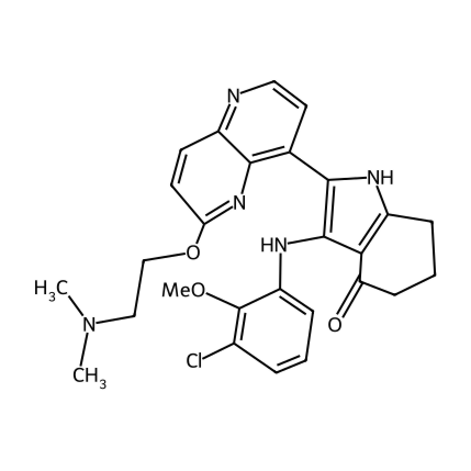 COc1c(Cl)cccc1Nc1c(-c2ccnc3ccc(OCCN(C)C)nc23)[nH]c2c1C(=O)CCC2